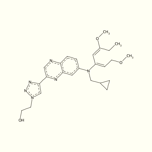 CC/C(=C\C(=C/COC)N(CC1CC1)c1ccc2ncc(-c3cn(CCO)nn3)nc2c1)OC